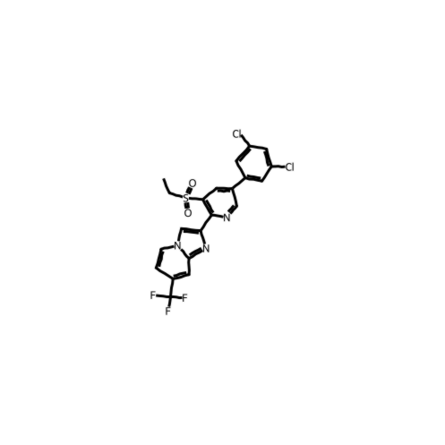 CCS(=O)(=O)c1cc(-c2cc(Cl)cc(Cl)c2)cnc1-c1cn2ccc(C(F)(F)F)cc2n1